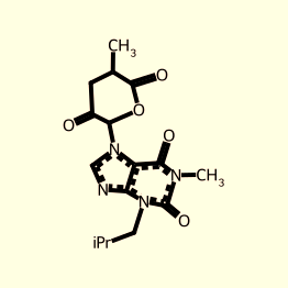 CC(C)Cn1c(=O)n(C)c(=O)c2c1ncn2C1OC(=O)C(C)CC1=O